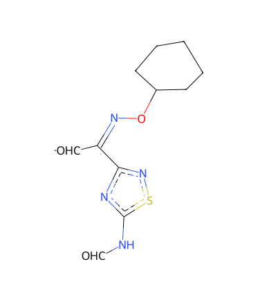 O=[C]C(=NOC1CCCCC1)c1nsc(NC=O)n1